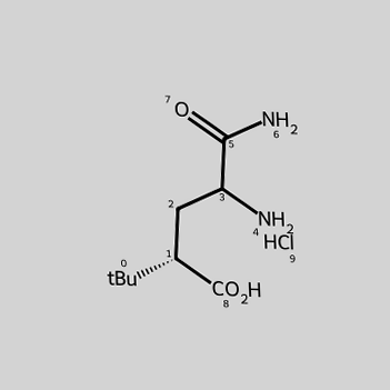 CC(C)(C)[C@H](CC(N)C(N)=O)C(=O)O.Cl